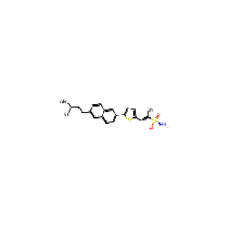 CCCC(CC)CCc1ccc2cc(-c3ccc(/C=C(\C#N)S(N)(=O)=O)s3)ccc2c1